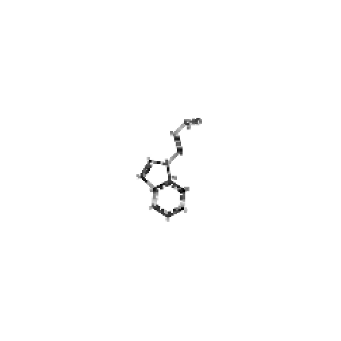 O=CC=CC1C=Cc2ccccc21